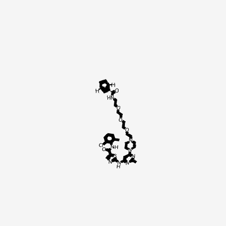 Cc1nc(Nc2ncc(C(=O)Nc3c(C)cccc3Cl)s2)cc(N2CCN(CCOCCOCCOCCNC(=O)[C@@H]3C[C@@H]4C=C[C@H]3C4)CC2)n1